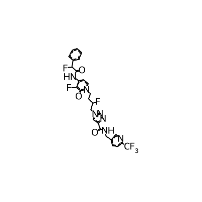 O=C(NCc1ccc(C(F)(F)F)nc1)c1cn(CC(F)CCn2ccc(NC(=O)C(F)c3ccccc3)c(F)c2=O)nn1